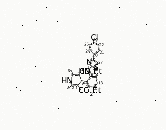 CCOC(=O)C1=C(C)NC(C)=C(C(=O)OCC)C1c1ccccc1Nc1nc(-c2ccc(Cl)cc2)cs1